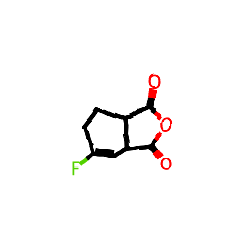 O=C1OC(=O)C2CCC(F)=CC12